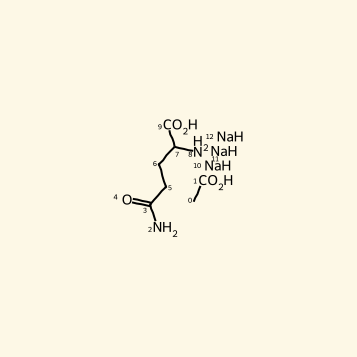 CC(=O)O.NC(=O)CCC(N)C(=O)O.[NaH].[NaH].[NaH]